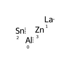 [Al].[La].[Sn].[Zn]